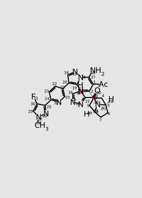 CC(=O)c1c([C@@H]2C[C@H]3CC[C@@H](C2)N3C(=O)c2nnc[nH]2)nc2c(-c3ccc(-c4nn(C)cc4F)nc3)cnn2c1N